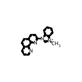 C[n+]1cn(-c2ccc3ccc4cccnc4c3n2)c2ccccc21